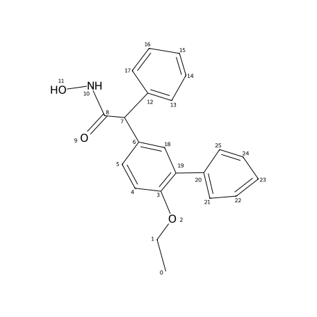 CCOc1ccc(C(C(=O)NO)c2ccccc2)cc1-c1ccccc1